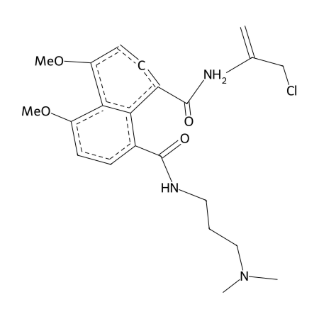 C=C(C)CCl.COc1ccc(C(N)=O)c2c(C(=O)NCCCN(C)C)ccc(OC)c12